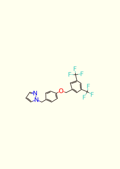 FC(F)(F)c1cc(COc2ccc(Cn3cccn3)cc2)cc(C(F)(F)F)c1